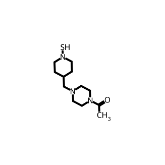 CC(=O)N1CCN(CC2CCN(S)CC2)CC1